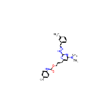 Cc1cccc(/C=N/Nc2nc(CCCOC(=O)Nc3ccc(N=O)cc3)cc(N(C)C)n2)c1